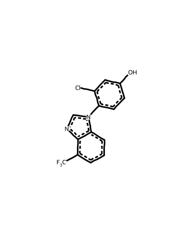 Oc1ccc(-n2cnc3c(C(F)(F)F)cccc32)c(Cl)c1